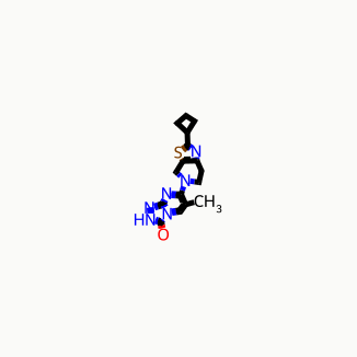 Cc1cn2c(=O)[nH]nc2nc1N1CCc2nc(C3CCC3)sc2C1